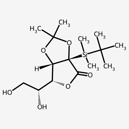 CC1(C)O[C@H]2[C@@H]([C@H](O)CO)OC(=O)[C@@]2([Si](C)(C)C(C)(C)C)O1